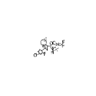 CN1CCCn2c(-c3ccc(Cl)cc3F)nc(C(=O)NC(C(=O)N3CC(F)(F)C3)C(C)(C)C)c2C1